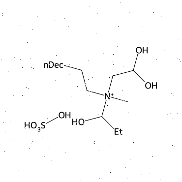 CCCCCCCCCCCC[N+](C)(CC(O)O)C(O)CC.O=S(=O)(O)O